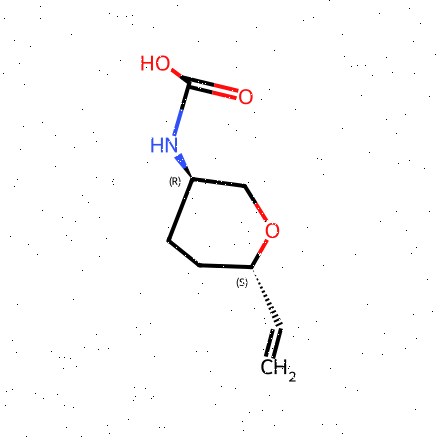 C=C[C@@H]1CC[C@@H](NC(=O)O)CO1